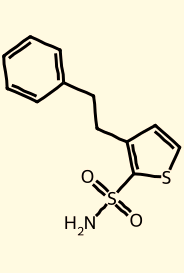 NS(=O)(=O)c1sccc1CCc1ccccc1